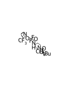 CC1CC(NC(=O)C(F)(F)COc2ncccc2C(F)(F)F)CCN1C(=O)OC(C)(C)C